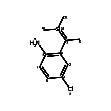 CC(c1cc(Cl)ccc1N)=[Si](C)C